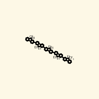 CCC1(CC)c2cc(-c3ccc4c(c3)C(CC)(CC)c3cc(-c5ccc6c(c5)C(CC)(C(F)(F)F)c5ccccc5-6)ccc3-4)ccc2-c2ccc(-c3ccc4c(c3)C(CC)(CC)c3cc(-c5ccc6c(c5)C(CC)(C(F)(F)F)c5ccccc5-6)ccc3-4)cc21